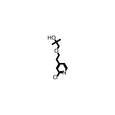 CC(C)(O)COCCc1ccnc(Cl)c1